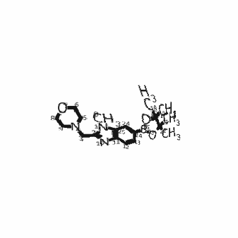 Cn1c(CN2CCOCC2)nc2ccc(B3OC(C)(C)C(C)(C)O3)cc21